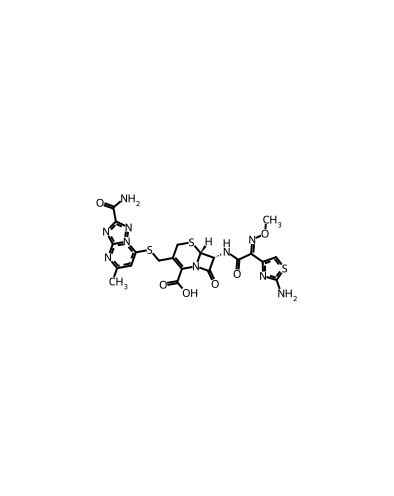 CON=C(C(=O)N[C@@H]1C(=O)N2C(C(=O)O)=C(CSc3cc(C)nc4nc(C(N)=O)nn34)CS[C@H]12)c1csc(N)n1